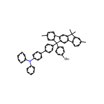 Cc1ccc2c(c1)C(C)(C)c1cc3c(cc1-2)C(c1ccc(-c2ccc(N(c4ccccc4)c4ccccc4)cc2)cc1)(c1ccc(C(C)(C)C)cc1)c1cc(C)ccc1-3